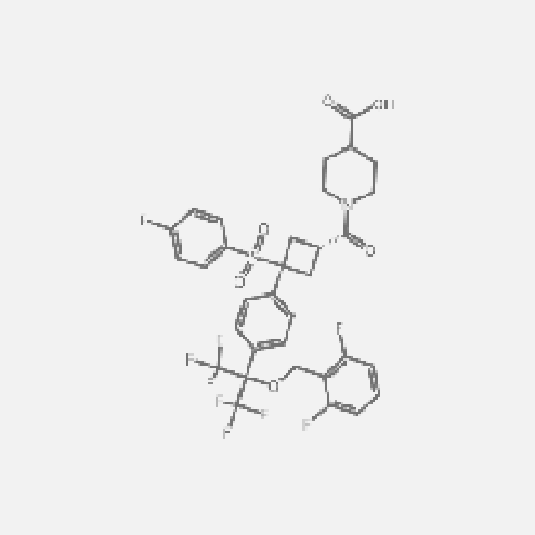 O=C(O)C1CCN(C(=O)[C@H]2C[C@@](c3ccc(C(OCc4c(F)cccc4F)(C(F)(F)F)C(F)(F)F)cc3)(S(=O)(=O)c3ccc(F)cc3)C2)CC1